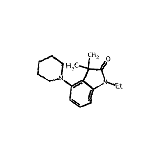 CCN1C(=O)C(C)(C)c2c(N3CCCCC3)cccc21